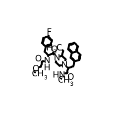 CCC1CN(C(Cc2ccc3ccccc3c2)C(=O)NC)CCN1C(=O)C(Cc1ccc(F)cc1)NC(=O)COC